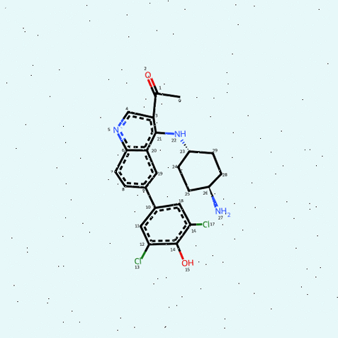 CC(=O)c1cnc2ccc(-c3cc(Cl)c(O)c(Cl)c3)cc2c1N[C@H]1CC[C@H](N)CC1